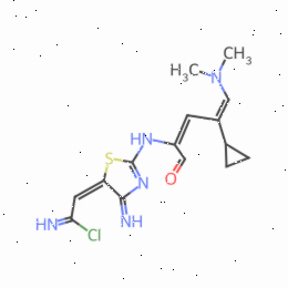 CN(C)/C=C(\C=C(/C=O)NC1=NC(=N)/C(=C\C(=N)Cl)S1)C1CC1